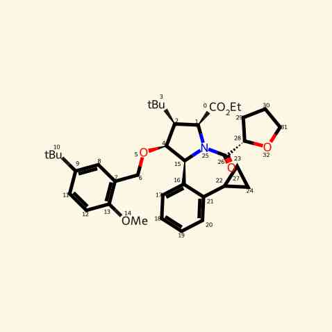 CCOC(=O)[C@@H]1[C@H](C(C)(C)C)[C@H](OCc2cc(C(C)(C)C)ccc2OC)[C@H](c2ccccc2C2CC2)N1C(=O)[C@@H]1CCCO1